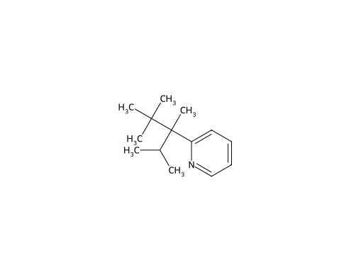 CC(C)C(C)(c1ccccn1)C(C)(C)C